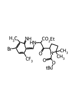 CCOC(=O)C(N/C=C1\C(=N)C(C)=C(Br)C=C1C(F)(F)F)C(=O)C1CCC(C)(C)N1C(=O)OC(C)(C)C